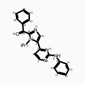 CC(C)n1c(-c2ccnc(Nc3ccccc3)n2)cnc1C(=O)c1ccccc1